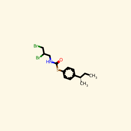 CC[C@H](C)c1ccc(SC(=O)NCC(Br)CBr)cc1